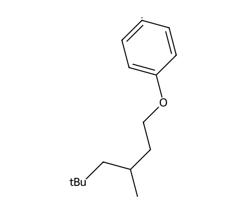 CC(CCOc1cc[c]cc1)CC(C)(C)C